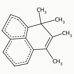 CC1=C(C)C(C)(C)c2cccc3cccc1c23